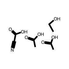 CC(=O)O.CC(=O)O.CCO.N#CC(=O)O